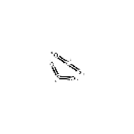 O=C=S.O=S=O